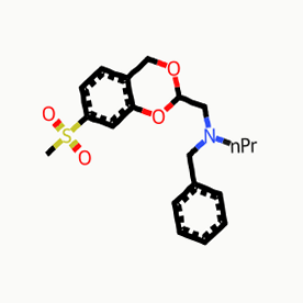 CCCN(Cc1ccccc1)CC1OCc2ccc(S(C)(=O)=O)cc2O1